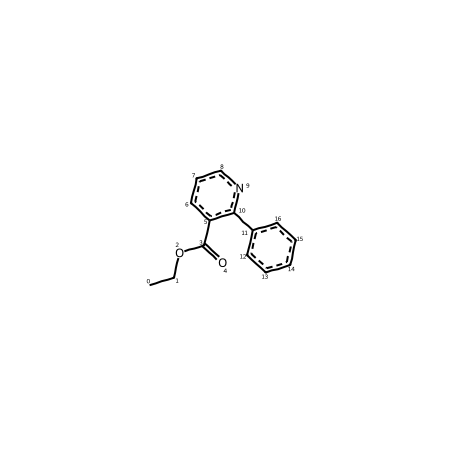 CCOC(=O)c1cccnc1-c1ccccc1